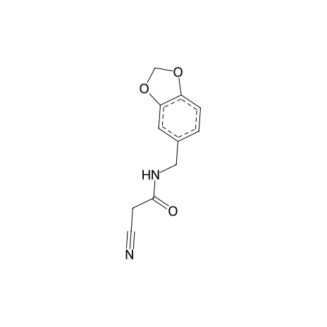 N#CCC(=O)NCc1ccc2c(c1)OCO2